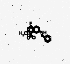 Cc1cc(F)c2c(c1C(=O)O)CC(NCc1ccccc1)CC2